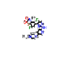 CC(C)n1c(=O)c(=O)sc2c(F)cc(-c3nc(Nc4ccc(CN5CCN(C)CC5)cn4)ncc3F)cc21